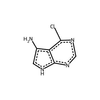 Nc1c[nH]c2ncnc(Cl)c12